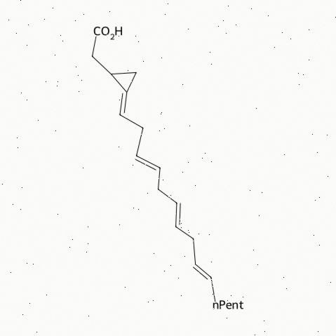 CCCCC/C=C/C/C=C/C/C=C/C/C=C1\CC1CC(=O)O